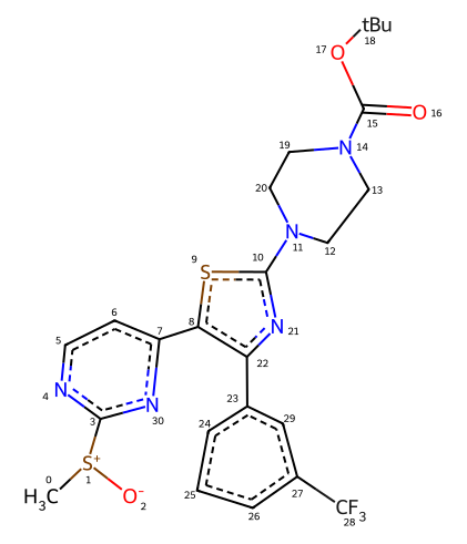 C[S+]([O-])c1nccc(-c2sc(N3CCN(C(=O)OC(C)(C)C)CC3)nc2-c2cccc(C(F)(F)F)c2)n1